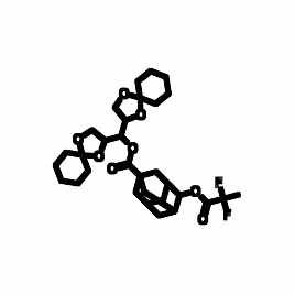 CC(F)(F)C(=O)OC1C2CC3CC1CC(C(=O)OC(C1COC4(CCCCC4)O1)C1COC4(CCCCC4)O1)(C3)C2